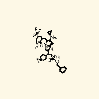 CN(c1cc2nc([C@@H](NC(=O)OCc3ccccc3)C3CCC(F)(F)CC3)cn2nc1CC1C[C@@H](C(F)(F)F)CNC1=O)C1CC1